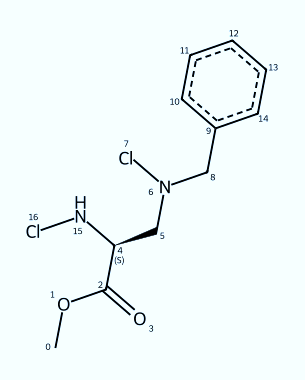 COC(=O)[C@H](CN(Cl)Cc1ccccc1)NCl